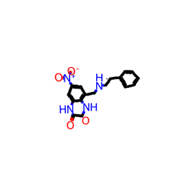 O=c1[nH]c2cc([N+](=O)[O-])cc(CNC[CH]c3ccccc3)c2[nH]c1=O